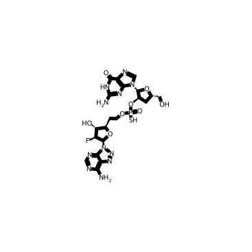 Nc1nc2c(ncn2[C@@H]2O[C@H](CO)C[C@H]2OP(=O)(S)OCC[C@H]2O[C@@H](n3nnc4c(N)ncnc43)[C@@H](F)[C@@H]2O)c(=O)[nH]1